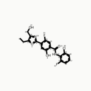 CCc1oc(-c2cc(O)c(C(=O)Nc3c(F)cccc3Cl)cc2F)nc1CO